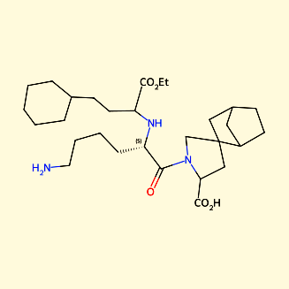 CCOC(=O)C(CCC1CCCCC1)N[C@@H](CCCCN)C(=O)N1CC2(CC3CCC2C3)CC1C(=O)O